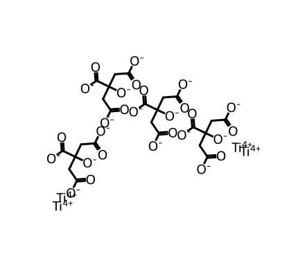 O=C([O-])CC([O-])(CC(=O)[O-])C(=O)[O-].O=C([O-])CC([O-])(CC(=O)[O-])C(=O)[O-].O=C([O-])CC([O-])(CC(=O)[O-])C(=O)[O-].O=C([O-])CC([O-])(CC(=O)[O-])C(=O)[O-].[Ti+4].[Ti+4].[Ti+4].[Ti+4]